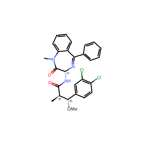 CO[C@@H](c1ccc(Cl)c(Cl)c1)[C@@H](C)C(=O)N[C@H]1N=C(c2ccccc2)c2ccccc2N(C)C1=O